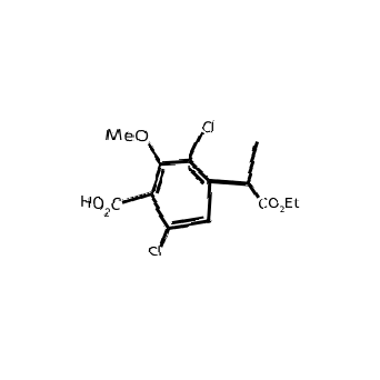 CCOC(=O)C(C)c1cc(Cl)c(C(=O)O)c(OC)c1Cl